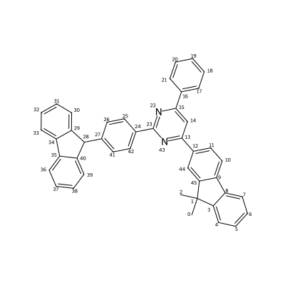 CC1(C)c2ccccc2-c2ccc(-c3cc(-c4ccccc4)nc(-c4ccc(C5c6ccccc6-c6ccccc65)cc4)n3)cc21